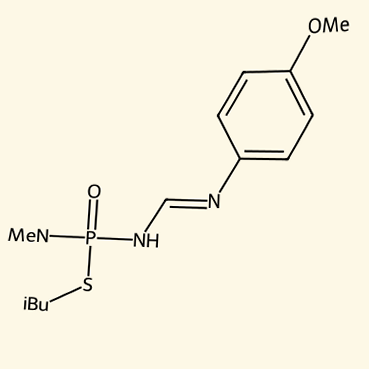 CCC(C)SP(=O)(NC)NC=Nc1ccc(OC)cc1